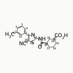 Cc1cccc(-c2nc(NC(=O)[C@@H]3CCC[C@H](C(=O)O)C3)sc2C#N)c1